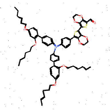 CCCCCCOc1ccc(-c2ccc(N(c3ccc(-c4ccc(OCCCCCC)cc4OCCCCCC)cc3)c3ccc(-c4sc(-c5sc(C=O)c6c5OCCO6)c5c4OCCO5)cc3)cc2)c(OCCCCCC)c1